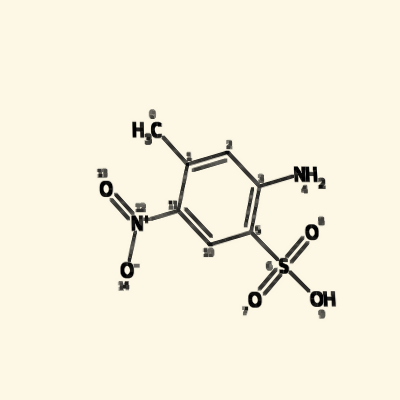 Cc1cc(N)c(S(=O)(=O)O)cc1[N+](=O)[O-]